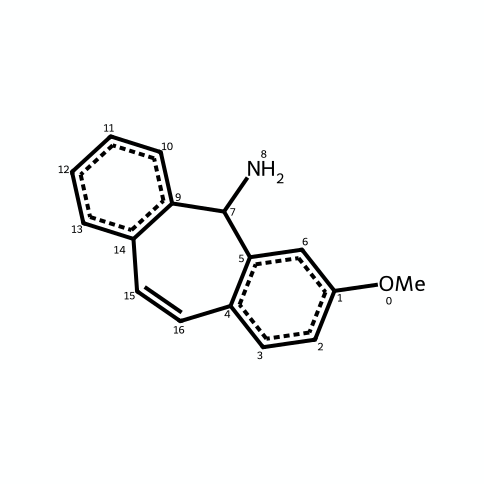 COc1ccc2c(c1)C(N)c1ccccc1C=C2